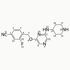 N#Cc1ccc(COc2cncc(NC3CCNCC3)n2)c(F)c1